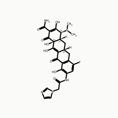 CN(C)[C@@H]1C(O)=C(C(N)=O)C(=O)[C@@]2(O)C(O)=C3C(=O)c4c(O)c(NC(=O)Cn5ccnc5)cc(F)c4C[C@H]3C[C@@H]12